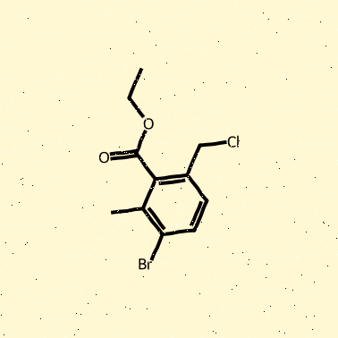 CCOC(=O)c1c(CCl)ccc(Br)c1C